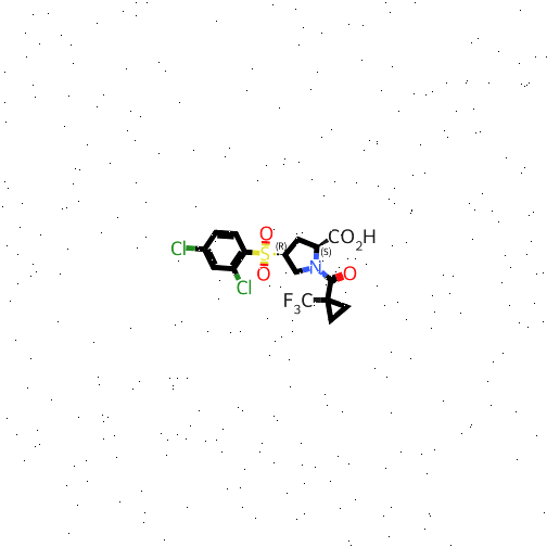 O=C(O)[C@@H]1C[C@@H](S(=O)(=O)c2ccc(Cl)cc2Cl)CN1C(=O)C1(C(F)(F)F)CC1